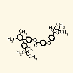 CCC(C)(C)OC(=O)c1ccc(Oc2ccc(C(=O)Oc3ccc(C4(c5ccc(C(C)(C)CC)cc5)CC(C)CC(C)C4)cc3)cc2)cc1